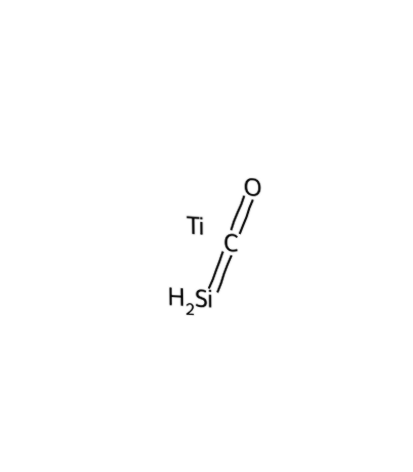 O=C=[SiH2].[Ti]